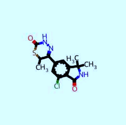 CC1SC(=O)NN=C1c1cc(Cl)c2c(c1)C(C)(C)NC2=O